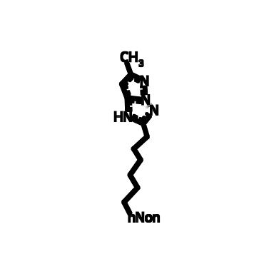 CCCCCCCCCCCCCCCc1nn2nc(C)cc2[nH]1